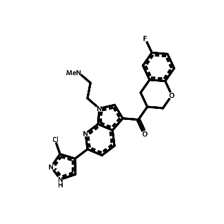 CNCCn1cc(C(=O)C2COc3ccc(F)cc3C2)c2ccc(-c3c[nH]nc3Cl)nc21